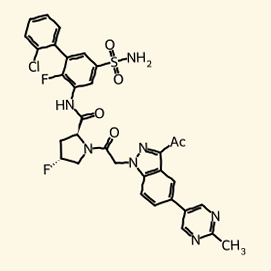 CC(=O)c1nn(CC(=O)N2C[C@H](F)C[C@H]2C(=O)Nc2cc(S(N)(=O)=O)cc(-c3ccccc3Cl)c2F)c2ccc(-c3cnc(C)nc3)cc12